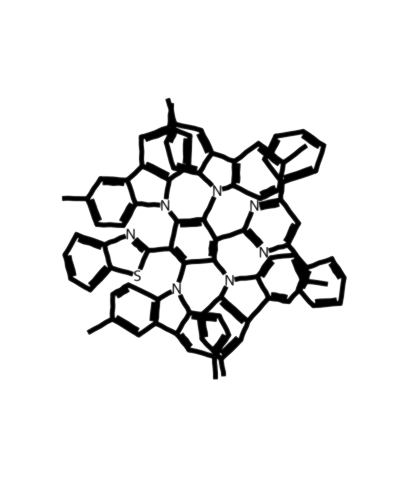 Cc1ccc2c(c1)c1cc(C)ccc1n2-c1c(-c2nc(-c3ccccc3)cc(-c3ccccc3)n2)c(-n2c3ccc(C)cc3c3cc(C)ccc32)c(-n2c3ccc(C)cc3c3cc(C)ccc32)c(-c2nc3ccccc3s2)c1-n1c2ccc(C)cc2c2cc(C)ccc21